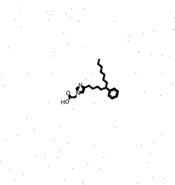 CCCCCCCC(CCCCc1cn(CC(=O)O)cn1)c1ccccc1